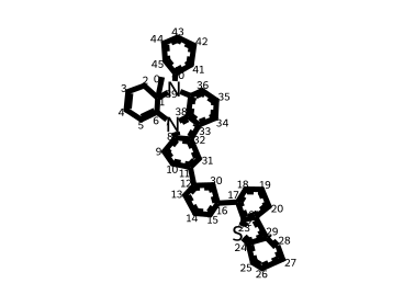 CC12CC=CC=C1n1c3ccc(-c4cccc(-c5cccc6c5sc5ccccc56)c4)cc3c3cccc(c31)N2c1ccccc1